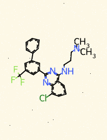 CN(C)CCCNc1nc(-c2cc(-c3ccccc3)cc(C(F)(F)F)c2)nc2c(Cl)cccc12